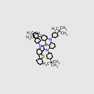 CC(C)(C)c1ccc(N2c3ccc(-c4ccccc4)cc3B3c4c2cccc4N(c2ccc(C(C)(C)C)cc2)c2c3n(-c3ccc(C(C)(C)C)cc3)c3ccc4c5ccccc5sc4c23)cc1